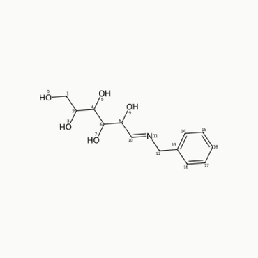 OCC(O)C(O)C(O)C(O)C=NCc1ccccc1